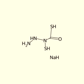 NNN(S)C(=O)S.[NaH]